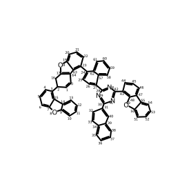 C1=CC(c2cccc3oc4ccccc4c23)Cc2oc3cccc(-c4ccc(-c5nc(-c6ccc7ccccc7c6)nc(-c6cccc7c6oc6ccccc67)n5)c5ccccc45)c3c21